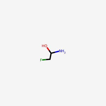 NC(O)CF